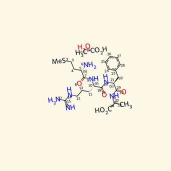 CC(=O)O.CSCC[C@H](N)C(=O)N[C@@H](CCCNC(=N)N)C(=O)N[C@@H](Cc1ccccc1)C(=O)N[C@@H](C)C(=O)O.O